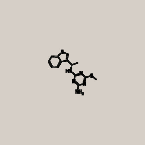 CSc1nc(N)nc(NC(C)c2csc3ccccc23)n1